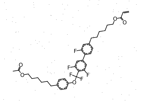 C=CC(=O)OCCCCCCc1ccc(-c2cc(F)c(C(F)(F)Oc3ccc(CCCCCCOC(C)=O)cc3)c(F)c2)c(F)c1